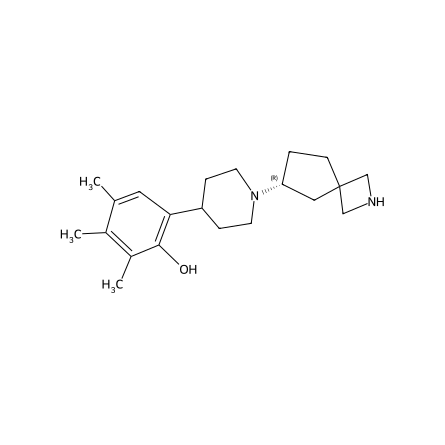 Cc1cc(C2CCN([C@@H]3CCC4(CNC4)C3)CC2)c(O)c(C)c1C